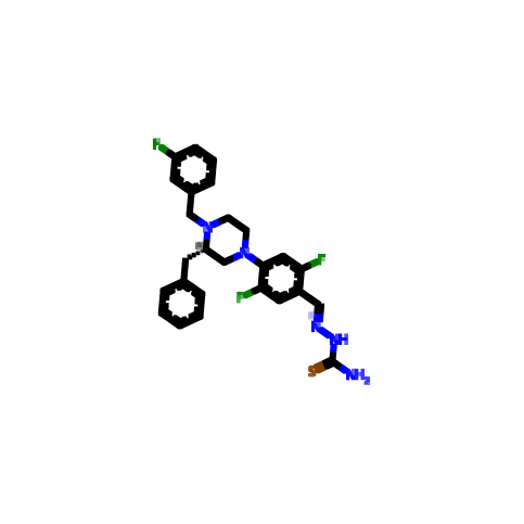 NC(=S)N/N=C/c1cc(F)c(N2CCN(Cc3cccc(F)c3)[C@@H](Cc3ccccc3)C2)cc1F